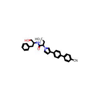 N#Cc1ccc(-c2ccc(-c3ccn(C(CC(=O)O)C(=O)NC(CO)Cc4ccccc4)c3)cc2)cc1